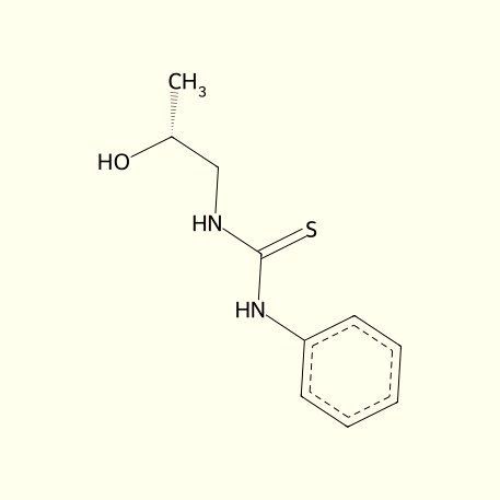 C[C@@H](O)CNC(=S)Nc1ccccc1